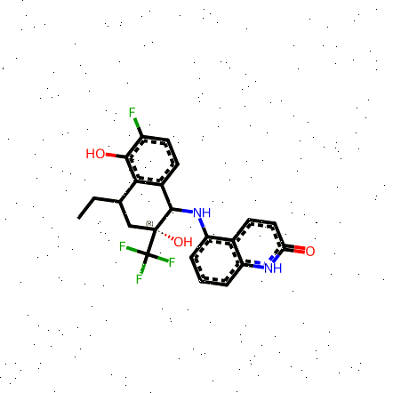 CCC1C[C@](O)(C(F)(F)F)C(Nc2cccc3[nH]c(=O)ccc23)c2ccc(F)c(O)c21